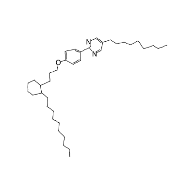 CCCCCCCCCCC1CCCCC1CCCOc1ccc(-c2ncc(CCCCCCCCC)cn2)cc1